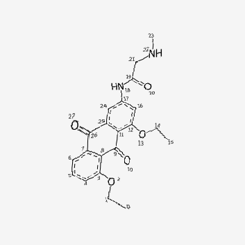 CCOc1cccc2c1C(=O)c1c(OCC)cc(NC(=O)CNC)cc1C2=O